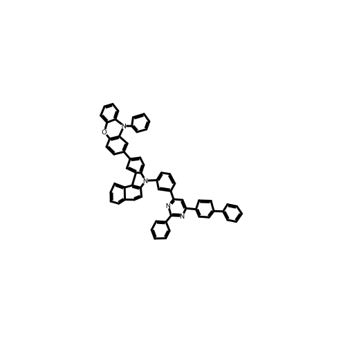 c1ccc(-c2ccc(-c3cc(-c4cccc(-n5c6ccc(-c7ccc8c(c7)N(c7ccccc7)c7ccccc7O8)cc6c6c7ccccc7ccc65)c4)nc(-c4ccccc4)n3)cc2)cc1